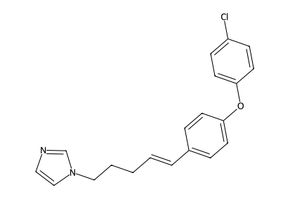 Clc1ccc(Oc2ccc(C=CCCCn3ccnc3)cc2)cc1